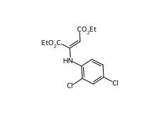 CCOC(=O)C=C(Nc1ccc(Cl)cc1Cl)C(=O)OCC